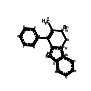 CC1=C(c2ccccc2)c2[se]c3ccccc3[n+]2CC1.[Br-]